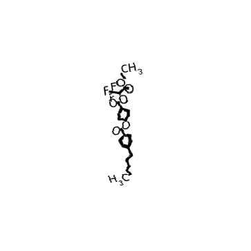 CCCCCCc1ccc(C(=O)Oc2ccc(C(=O)OC(C(=O)OCCC)C(F)(F)F)cc2)cc1